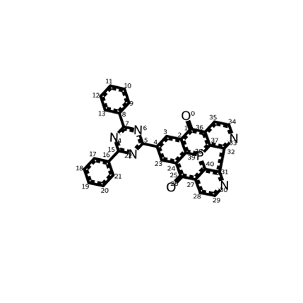 O=c1c2cc(-c3nc(-c4ccccc4)nc(-c4ccccc4)n3)cc3c(=O)c4ccnc5c6nccc1c6p(c23)c45